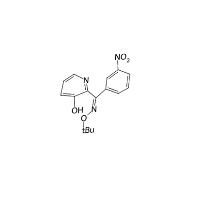 CC(C)(C)ON=C(c1cccc([N+](=O)[O-])c1)c1ncccc1O